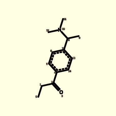 CCC(=O)c1ccc(C(C)N(C)C)cc1